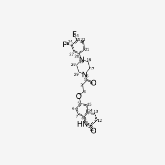 O=C(CCOc1ccc2[nH]c(=O)ccc2c1)N1CCN(c2ccc(F)c(F)c2)CC1